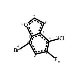 Fc1cc(Br)c2occc2c1Cl